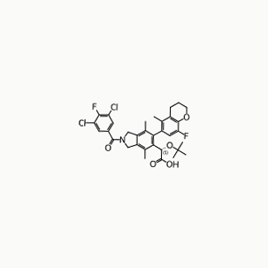 Cc1c(-c2c(C)c3c(c(C)c2[C@H](OC(C)(C)C)C(=O)O)CN(C(=O)c2cc(Cl)c(F)c(Cl)c2)C3)cc(F)c2c1CCCO2